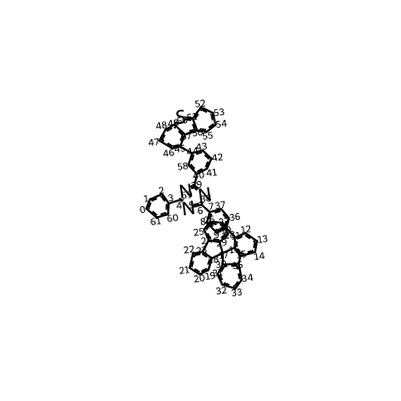 c1ccc(-c2nc(-c3ccc(-c4cccc5c4C4(c6ccccc6-c6ccccc64)c4ccccc4-5)cc3)nc(-c3cccc(-c4cccc5sc6ccccc6c45)c3)n2)cc1